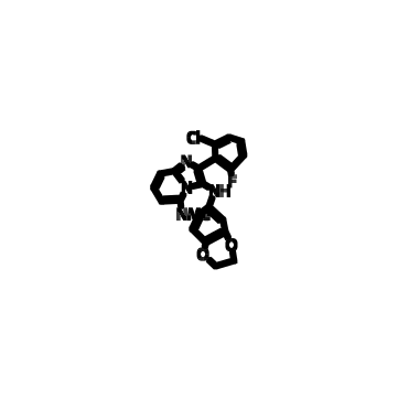 CNc1cccc2nc(-c3c(F)cccc3Cl)c(Nc3ccc4c(c3)OCCO4)n12